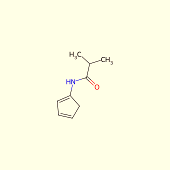 CC(C)C(=O)NC1=CC=CC1